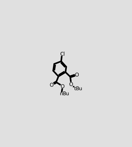 CCCCOC(=O)c1ccc(Cl)cc1C(=O)OC(C)(C)C